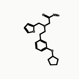 CNC(=O)CN(CCc1cccc(OC2CCCC2)c1)Cc1ccco1